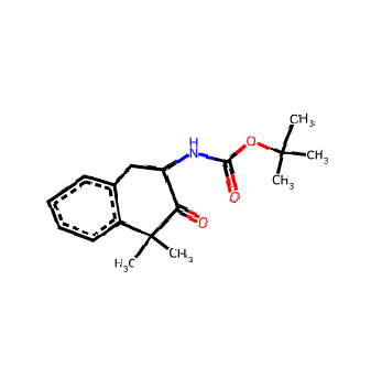 CC(C)(C)OC(=O)NC1Cc2ccccc2C(C)(C)C1=O